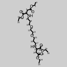 CCOC(=O)CC(NCCCOCCOCCCNC(CC(=O)OCC)C(=O)OCC)C(=O)OCC